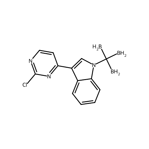 BC(B)(B)n1cc(-c2ccnc(Cl)n2)c2ccccc21